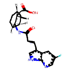 O=C(/C=C/c1c[nH]c2ncc(F)cc12)N[C@H]1[C@H]2CC[C@H](CC2)[C@@H]1C(=O)O